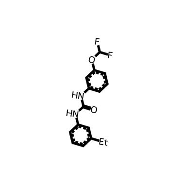 CCc1cccc(NC(=O)Nc2cccc(OC(F)F)c2)c1